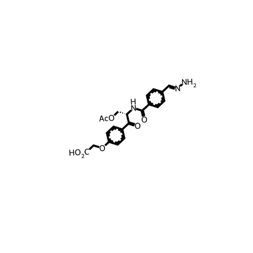 CC(=O)OC[C@H](NC(=O)c1ccc(C=NN)cc1)C(=O)c1ccc(OCC(=O)O)cc1